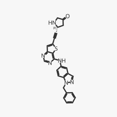 O=C1CN[C@@H](C#Cc2cc3ncnc(Nc4ccc5c(cnn5Cc5ccccc5)c4)c3s2)C1